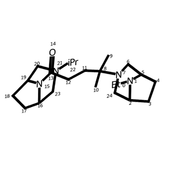 CCN1C2CCC1CN(C(C)(C)CCC(=O)N1C3CCC1CN(C(C)C)C3)C2